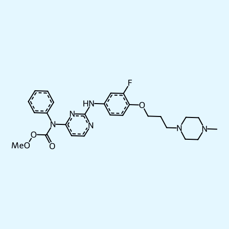 COOC(=O)N(c1ccccc1)c1ccnc(Nc2ccc(OCCCN3CCN(C)CC3)c(F)c2)n1